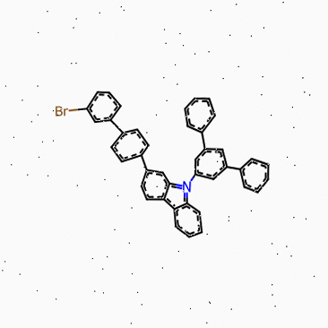 Brc1cccc(-c2ccc(-c3ccc4c5ccccc5n(-c5cc(-c6ccccc6)cc(-c6ccccc6)c5)c4c3)cc2)c1